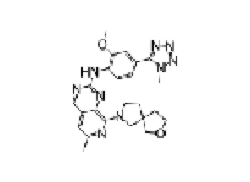 COc1cc(-c2nnnn2C)ccc1Nc1ncc2cc(C)nc(N3CCC4(CCOC4)C3)c2n1